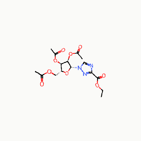 CCOC(=O)c1ncn([C@@H]2O[C@H](COC(C)=O)[C@@H](OC(C)=O)[C@H]2OC(C)=O)n1